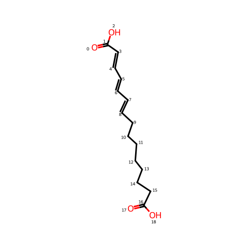 O=C(O)/C=C/C=C/C=C/CCCCCCCC(=O)O